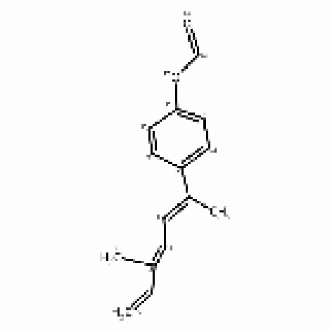 C=C/C(C)=C/C=C(\C)c1ccc(OC=O)cc1